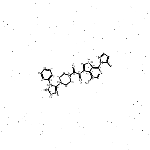 Cc1ccnn1-c1ncc(F)c2c(C(=O)C(=O)N3CCN(c4nnnn4-c4ccccc4)CC3)c[nH]c12